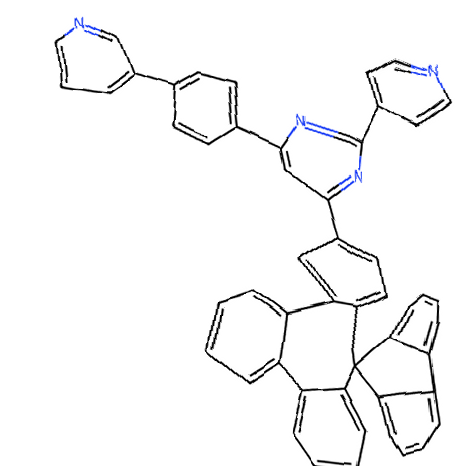 c1cncc(-c2ccc(-c3cc(-c4ccc5c(c4)-c4ccccc4-c4ccccc4C54c5ccccc5-c5ccccc54)nc(-c4ccncc4)n3)cc2)c1